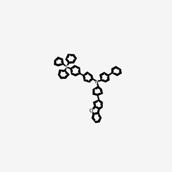 c1ccc(-c2ccc(N(c3ccc(-c4ccc(S(c5ccccc5)(c5ccccc5)c5ccccc5)cc4)cc3)c3ccc(-c4ccc5c(c4)oc4ccccc45)cc3)cc2)cc1